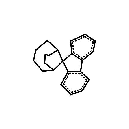 [c]1ccc2c(c1)C1(c3c[c]ccc3-2)C2CCCCC1CCC2